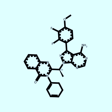 COc1ccc(-c2nn([C@@H](C)c3nc4ccccc4c(=O)n3C3=CC=CCC3)c3ncnc(N)c23)c(F)c1F